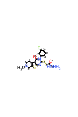 CN1CCc2c(sc3nc(SCC(=O)NN)n(-c4cccc(F)c4)c(=O)c23)C1